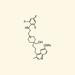 COc1ccc2ncc(C)c(CCCC3(CO)CCN(CCNc4c(F)cc(F)cc4F)CC3)c2c1